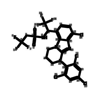 O=S(=O)(CC(F)(F)F)NC(c1ccc(Cl)c2nc3n(c12)CCCN3c1c(Cl)cc(Cl)cc1Cl)C(F)(F)F